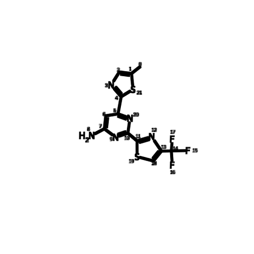 Cc1cnc(-c2cc(N)nc(-c3nc(C(F)(F)F)cs3)n2)s1